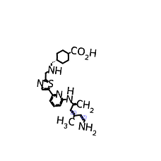 C=C(/C=C(C)\C=C/N)Nc1cccc(-c2cnc(CNC[C@H]3CC[C@H](C(=O)O)CC3)s2)n1